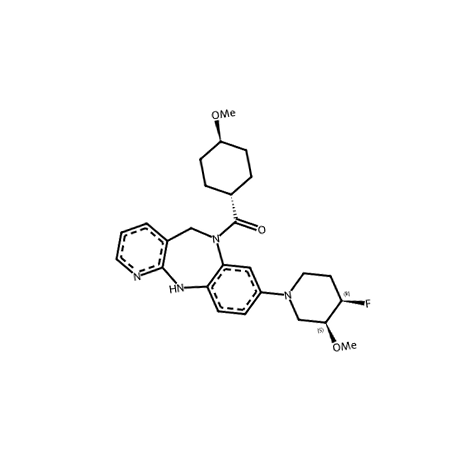 CO[C@H]1CN(c2ccc3c(c2)N(C(=O)[C@H]2CC[C@H](OC)CC2)Cc2cccnc2N3)CC[C@H]1F